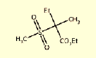 CCOC(=O)C(C)(CC)S(C)(=O)=O